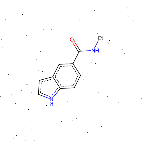 CCNC(=O)c1ccc2[nH]ccc2c1